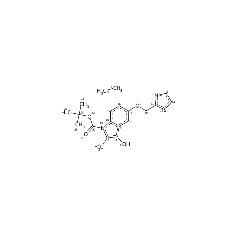 CC.Cc1c(O)c2cc(OCc3nccs3)ccc2n1C(=O)OC(C)(C)C